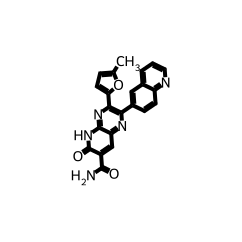 Cc1ccc(-c2nc3[nH]c(=O)c(C(N)=O)cc3nc2-c2ccc3ncccc3c2)o1